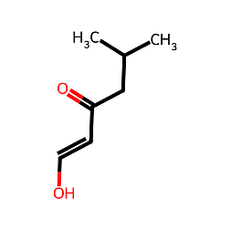 CC(C)CC(=O)C=CO